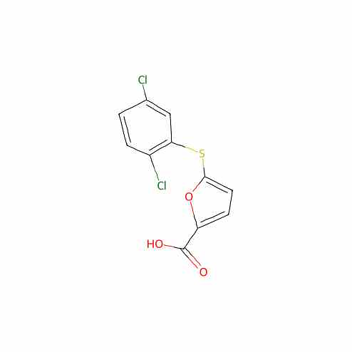 O=C(O)c1ccc(Sc2cc(Cl)ccc2Cl)o1